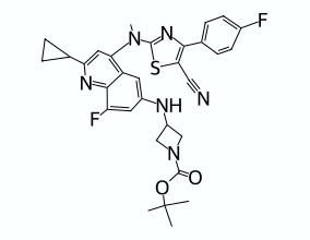 CN(c1nc(-c2ccc(F)cc2)c(C#N)s1)c1cc(C2CC2)nc2c(F)cc(NC3CN(C(=O)OC(C)(C)C)C3)cc12